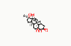 CC(=O)[C@@]1(O)CC[C@H]2[C@@H]3C[C@@H](C)[C@@]4(O)CC(=O)CC[C@]4(C)[C@H]3CC[C@@]21C